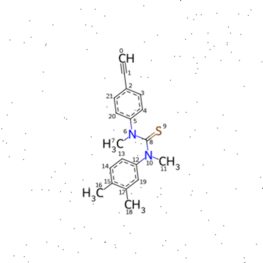 C#Cc1ccc(N(C)C(=S)N(C)c2ccc(C)c(C)c2)cc1